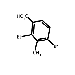 CCc1c(C(=O)O)ccc(Br)c1C